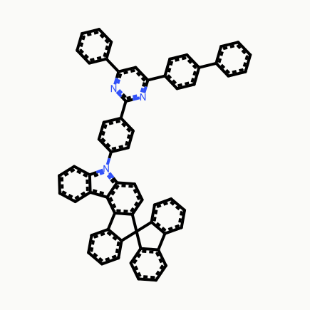 c1ccc(-c2ccc(-c3cc(-c4ccccc4)nc(-c4ccc(-n5c6ccccc6c6c7c(ccc65)C5(c6ccccc6-c6ccccc65)c5ccccc5-7)cc4)n3)cc2)cc1